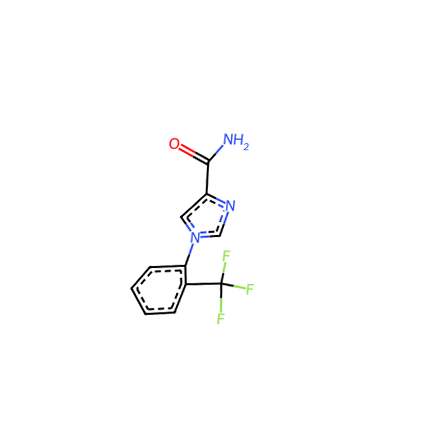 NC(=O)c1cn(-c2ccccc2C(F)(F)F)cn1